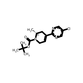 C[C@@H]1CC(c2ncc(Cl)cn2)=CCN1C(=O)OC(C)(C)C